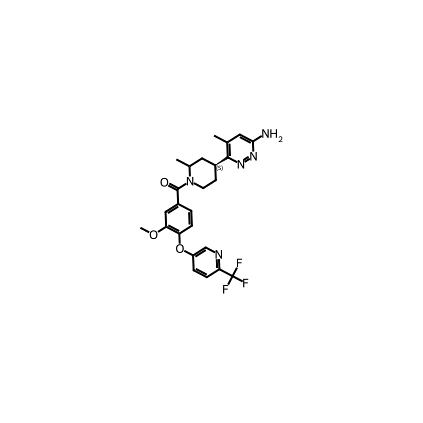 COc1cc(C(=O)N2CC[C@H](c3nnc(N)cc3C)CC2C)ccc1Oc1ccc(C(F)(F)F)nc1